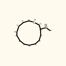 CBC1CCCCCCCCCCCCC1